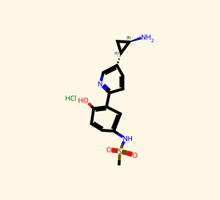 CS(=O)(=O)Nc1ccc(O)c(-c2ccc([C@@H]3C[C@H]3N)cn2)c1.Cl